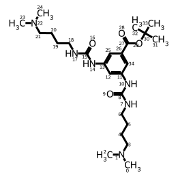 CN(C)CCCCNC(=O)Nc1cc(NC(=O)NCCCCN(C)C)cc(C(=O)OC(C)(C)C)c1